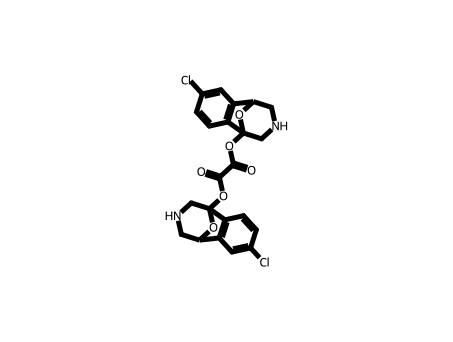 O=C(OC12CNCC(O1)c1cc(Cl)ccc12)C(=O)OC12CNCC(O1)c1cc(Cl)ccc12